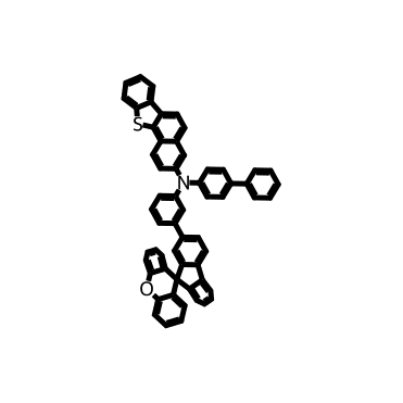 c1ccc(-c2ccc(N(c3cccc(-c4ccc5c(c4)C4(c6ccccc6Oc6ccccc64)c4ccccc4-5)c3)c3ccc4c(ccc5c6ccccc6sc45)c3)cc2)cc1